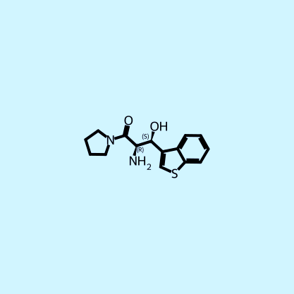 N[C@@H](C(=O)N1CCCC1)[C@@H](O)c1csc2ccccc12